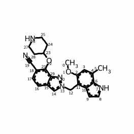 COc1cc(C)c2[nH]ccc2c1Cn1cc2ccc(C#N)c(OC3CCNCC3)c2n1